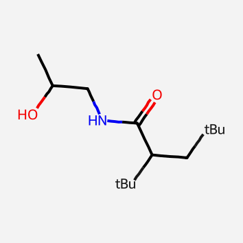 CC(O)CNC(=O)C(CC(C)(C)C)C(C)(C)C